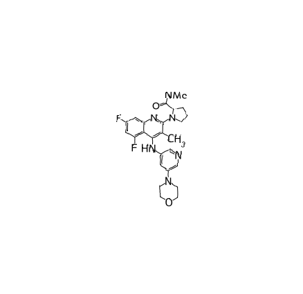 CNC(=O)C1CCCN1c1nc2cc(F)cc(F)c2c(Nc2cncc(N3CCOCC3)c2)c1C